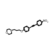 O=[N+]([O-])c1ccc(C#Cc2ccc(OCCCN3CCOCC3)cc2)cc1